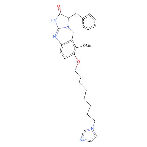 COc1c(OCCCCCCCCn2ccnc2)ccc2c1CN1C(=N2)NC(=O)C1Cc1ccccc1